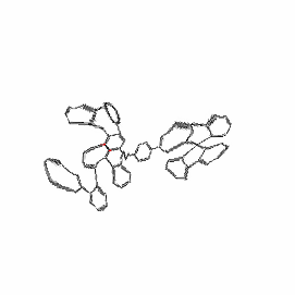 c1ccc(-c2ccccc2-c2ccccc2-c2ccccc2N(c2ccc(-c3ccc4c(c3)C3(c5ccccc5-c5ccccc53)c3ccccc3-4)cc2)c2ccc3c(c2)oc2ccccc23)cc1